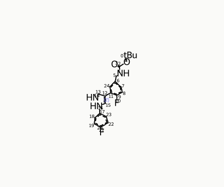 CC(C)(C)OC(=O)NCc1ccc(F)c(/C(C=N)=C/Nc2ccc(F)cc2)c1